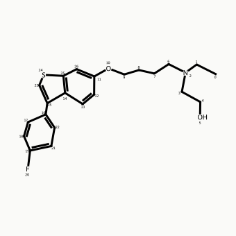 CCN(CCO)CCCCOc1ccc2c(-c3ccc(F)cc3)csc2c1